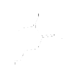 C=C(CCC(C)C)N(C)CCC